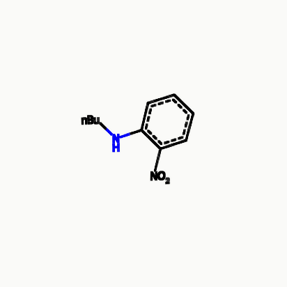 CCCCNc1ccccc1[N+](=O)[O-]